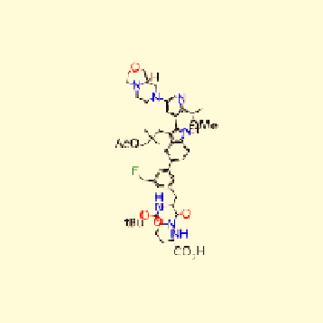 CCn1c(-c2cc(N3CCN4CCOC[C@@H]4C3)cnc2[C@H](C)OC)c(CC(C)(C)COC(C)=O)c2cc(-c3cc(CF)cc(C[C@H](NC(=O)OC(C)(C)C)C(=O)N4CCC[C@@H](C(=O)O)N4)c3)ccc21